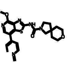 C=N/C=C\C(=C/C)c1cnc(OC)c2nc(NC(=O)N3CCC4(CCOCC4)C3)sc12